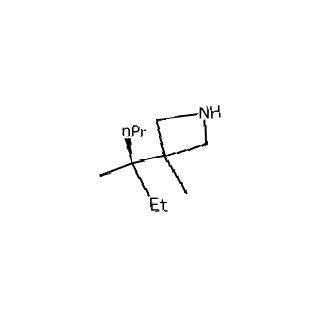 CCC[C@](C)(CC)C1(C)CNC1